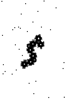 C1=CC2c3ccccc3N(c3ccc4oc5ccc(-c6ccc7oc8ccc(-c9ccccc9)cc8c7c6)cc5c4c3)C2C=C1